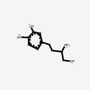 NC(CO)CCc1ccc(O)c(O)c1